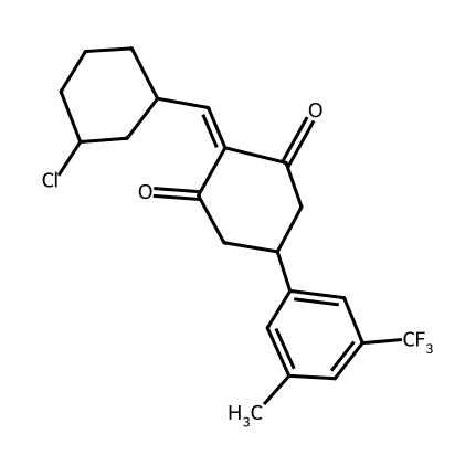 Cc1cc(C2CC(=O)C(=CC3CCCC(Cl)C3)C(=O)C2)cc(C(F)(F)F)c1